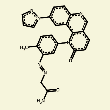 Cc1ccc(-n2c(=O)ccc3cnc4ccc(-n5cccn5)cc4c32)cc1/N=N/CC(N)=O